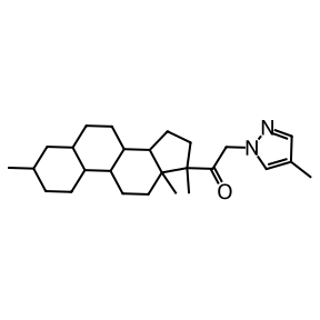 Cc1cnn(CC(=O)C2(C)CCC3C4CCC5CC(C)CCC5C4CCC32C)c1